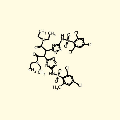 CCN(CC)C(=O)C(c1nsc(NS(=O)(=O)c2c(C)cc(Cl)cc2Cl)n1)C(C(=O)N(CC)CC)c1nsc(NS(=O)(=O)c2c(Cl)cc(Cl)cc2Cl)n1